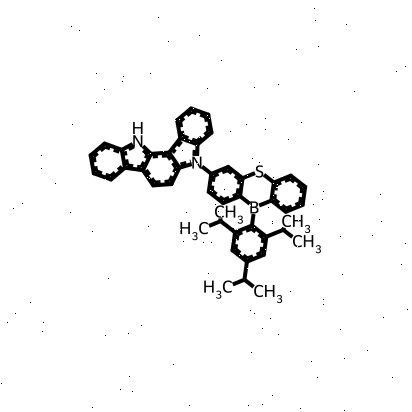 CC(C)c1cc(C(C)C)c(B2c3ccccc3Sc3cc(-n4c5ccccc5c5c6[nH]c7ccccc7c6ccc54)ccc32)c(C(C)C)c1